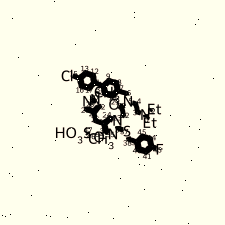 CCN(CC)CCN(Cc1ccc(-c2ccc(Cl)cc2)cc1)C(=O)Cn1cc(Cc2cnn(C)c2)c(=O)nc1SCc1ccc(F)cc1.CS(=O)(=O)O